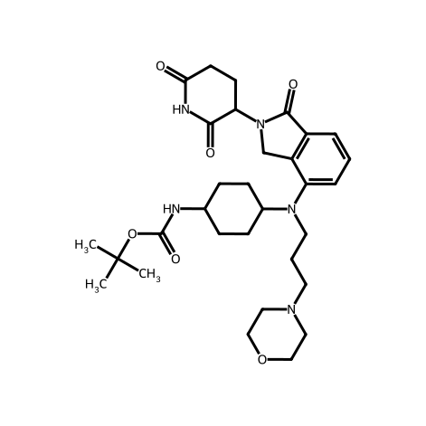 CC(C)(C)OC(=O)NC1CCC(N(CCCN2CCOCC2)c2cccc3c2CN(C2CCC(=O)NC2=O)C3=O)CC1